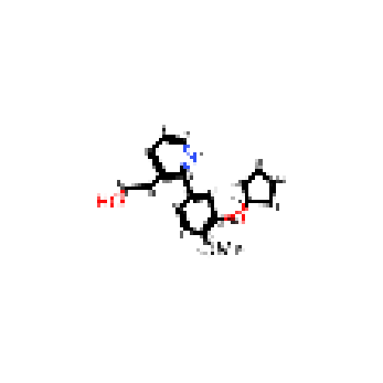 COc1ccc(-c2ncccc2CCO)cc1OC1CCCC1